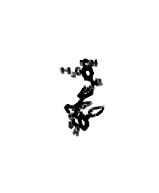 CCC(c1cc(C)c2nc[nH]c2c1)n1cc(C(=O)N2CCC[C@@]3(C2)OC(=O)Nc2ccc(Cl)c(F)c23)cn1